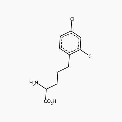 NC(CCCc1ccc(Cl)cc1Cl)C(=O)O